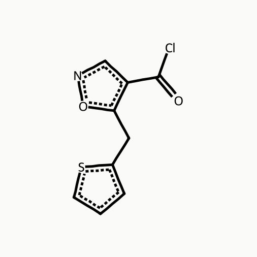 O=C(Cl)c1cnoc1Cc1cccs1